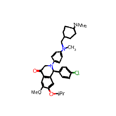 CNC1CCC(CN(C)c2ccc(N3CC(=O)c4cc(OC)c(OC(C)C)cc4C3c3ccc(Cl)cc3)cc2)CC1